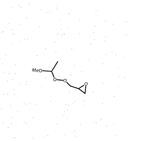 COC(C)OOCC1CO1